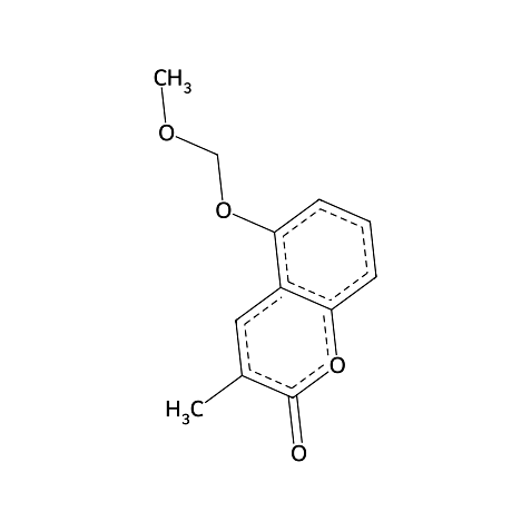 COCOc1cccc2oc(=O)c(C)cc12